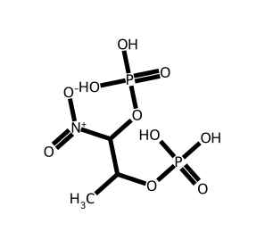 CC(OP(=O)(O)O)C(OP(=O)(O)O)[N+](=O)[O-]